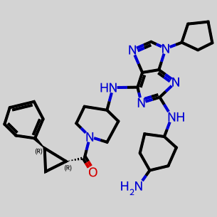 NC1CCC(Nc2nc(NC3CCN(C(=O)[C@@H]4C[C@H]4c4ccccc4)CC3)c3ncn(C4CCCC4)c3n2)CC1